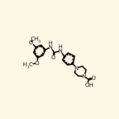 COc1cc(NC(=O)Nc2ccc(N3CCN(C(=O)O)CC3)cc2)cc(OC)c1